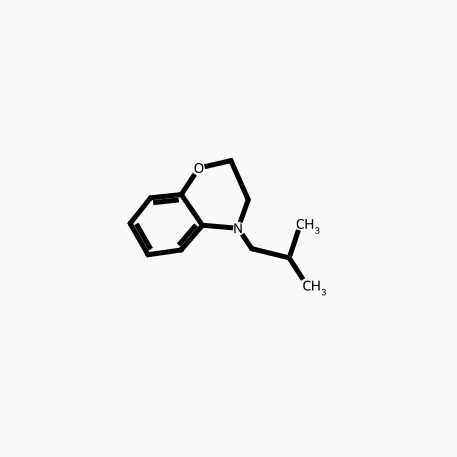 CC(C)CN1CCOc2ccccc21